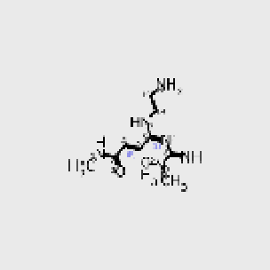 CNC(=O)/C=C/C(=N\C(=N)N(C)C)NCCN